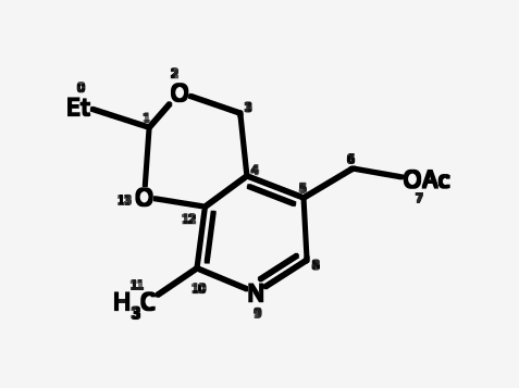 CCC1OCc2c(COC(C)=O)cnc(C)c2O1